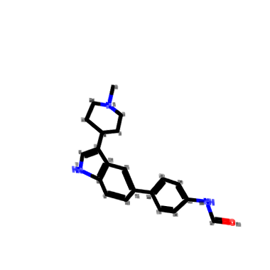 CN1CCC(c2c[nH]c3ccc(-c4ccc(NC=O)cc4)cc23)CC1